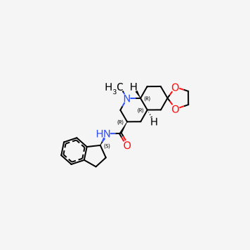 CN1C[C@H](C(=O)N[C@H]2CCc3ccccc32)C[C@@H]2CC3(CC[C@H]21)OCCO3